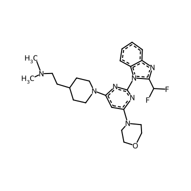 CN(C)CCC1CCN(c2cc(N3CCOCC3)nc(-n3c(C(F)F)nc4ccccc43)n2)CC1